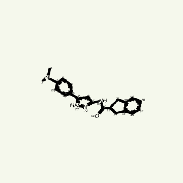 CN(C)c1ccc(-c2cc(NC(=O)C3Cc4ccccc4C3)n[nH]2)cc1